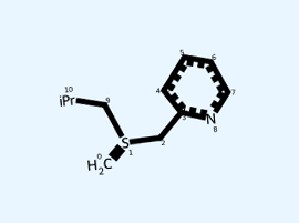 C=S(Cc1ccccn1)CC(C)C